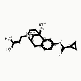 CCC12CCN(CC=C(C)C)C(Cc3ccc(OC(=O)C4CC4)cc31)C2C.Cl